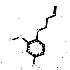 C=CCCOc1ccc(C=O)cc1OCC